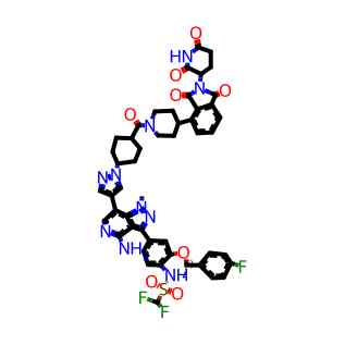 C[C@H](Oc1cc(-c2nn(C)c3c(-c4cnn(C5CCC(C(=O)N6CCC(c7cccc8c7C(=O)N(C7CCC(=O)NC7=O)C8=O)CC6)CC5)c4)cnc(N)c23)ccc1NS(=O)(=O)C(F)F)c1ccc(F)cc1